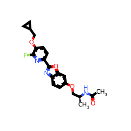 CC(=O)N[C@@H](C)COc1ccc2nc(-c3ccc(OCC4CC4)c(F)n3)oc2c1